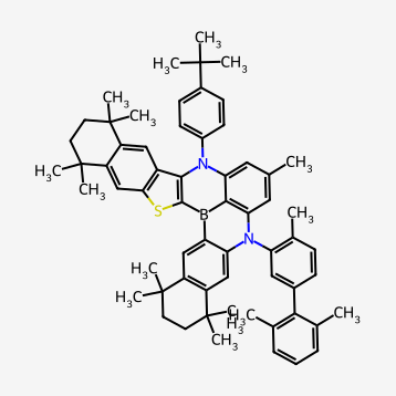 Cc1cc2c3c(c1)N(c1ccc(C(C)(C)C)cc1)c1c(sc4cc5c(cc14)C(C)(C)CCC5(C)C)B3c1cc3c(cc1N2c1cc(-c2c(C)cccc2C)ccc1C)C(C)(C)CCC3(C)C